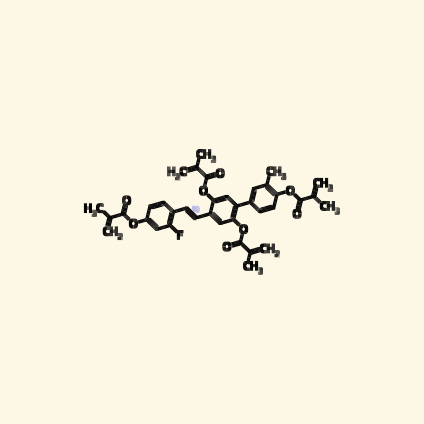 C=C(C)C(=O)Oc1ccc(/C=C/c2cc(OC(=O)C(=C)C)c(-c3ccc(OC(=O)C(=C)C)c(C)c3)cc2OC(=O)C(=C)C)c(F)c1